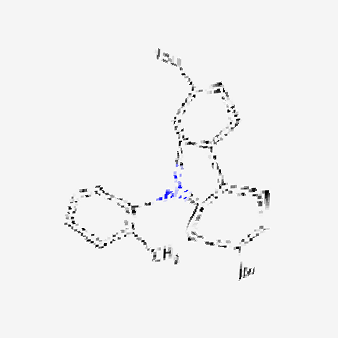 Cc1ccccc1-n1c2cc(C(C)(C)C)ccc2c2ccc(C(C)(C)C)cc21